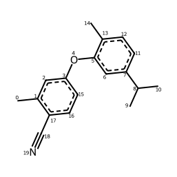 Cc1cc(Oc2cc(C(C)C)ccc2C)ccc1C#N